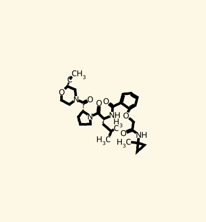 CC[C@H]1CN(C(=O)[C@H]2CCCN2C(=O)[C@@H](CC(C)C)NC(=O)c2ccccc2OCC(=O)NC2(C)CC2)CCO1